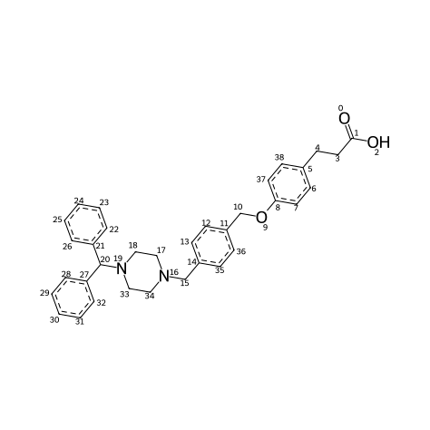 O=C(O)CCc1ccc(OCc2ccc(CN3CCN(C(c4ccccc4)c4ccccc4)CC3)cc2)cc1